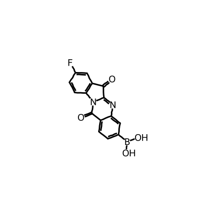 O=C1c2cc(F)ccc2-n2c1nc1cc(B(O)O)ccc1c2=O